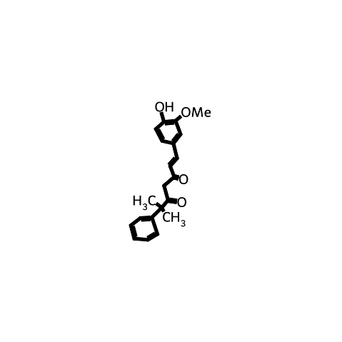 COc1cc(C=CC(=O)CC(=O)C(C)(C)c2ccccc2)ccc1O